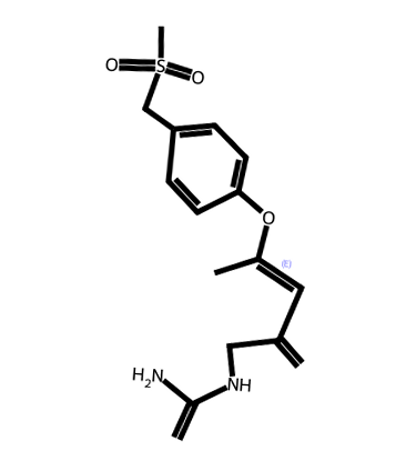 C=C(/C=C(\C)Oc1ccc(CS(C)(=O)=O)cc1)CNC(=C)N